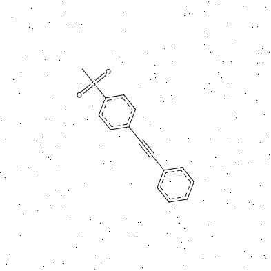 CS(=O)(=O)c1ccc(C#Cc2ccccc2)cc1